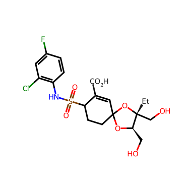 CC[C@]1(CO)OC2(C=C(C(=O)O)C(S(=O)(=O)Nc3ccc(F)cc3Cl)CC2)O[C@@H]1CO